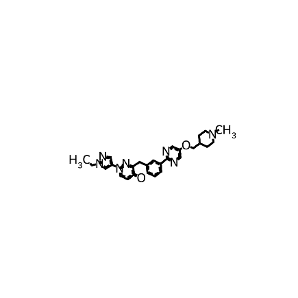 CCn1cc(-n2ccc(=O)c(Cc3cccc(-c4ncc(OCC5CCN(C)CC5)cn4)c3)n2)cn1